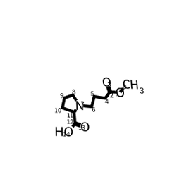 COC(=O)CCCN1CCCC1C(=O)O